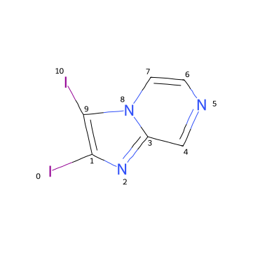 Ic1nc2cnccn2c1I